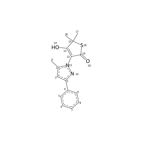 Cc1cc(-c2ccccc2)nn1C1=C(O)C(C)(C)SC1=O